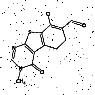 Cn1cnc2sc3c(c2c1=O)CCC(C=O)=C3Cl